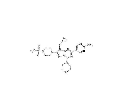 CS(=O)(=O)N1CCN(c2nc3c(N4CCOCC4)nc(-c4cnc(N)nc4)nc3n2CC2CC2)CC1